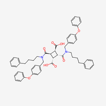 O=C(O)[C@H]1[C@H](C(=O)N(CCCCc2ccccc2)Cc2ccc(Oc3ccccc3)cc2)[C@H](C(=O)O)[C@H]1C(=O)N(CCCCc1ccccc1)Cc1ccc(Oc2ccccc2)cc1